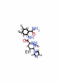 CCC1CC(C(=O)Nc2cc(C)c(C)cc2C(N)=O)NN(C)C1n1ccnc1